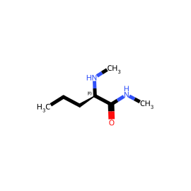 CCC[C@@H](NC)C(=O)NC